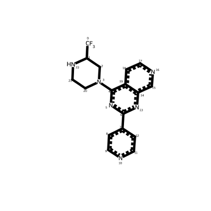 FC(F)(F)C1CN(c2nc(-c3ccncc3)nc3cnccc23)CCN1